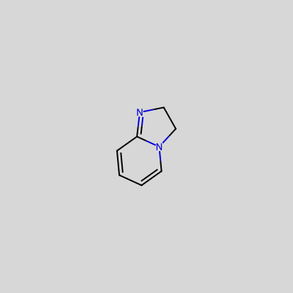 C1=CC2=NCCN2C=C1